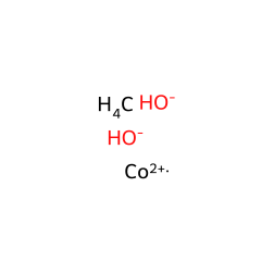 C.[Co+2].[OH-].[OH-]